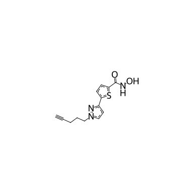 C#CCCCn1ccc(-c2ccc(C(=O)NO)s2)n1